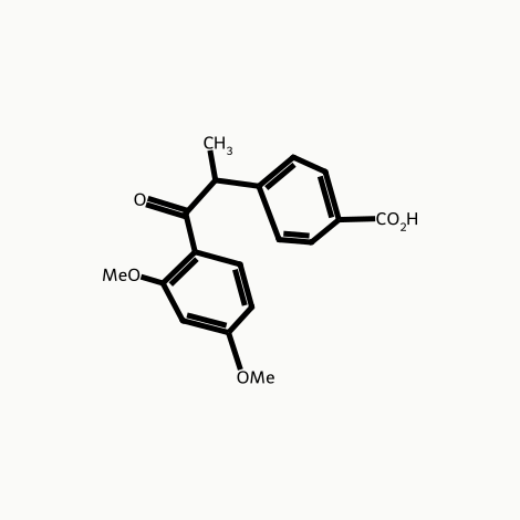 COc1ccc(C(=O)C(C)c2ccc(C(=O)O)cc2)c(OC)c1